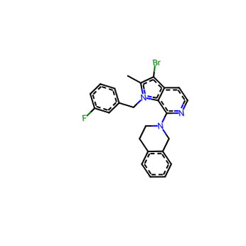 Cc1c(Br)c2ccnc(N3CCc4ccccc4C3)c2n1Cc1cccc(F)c1